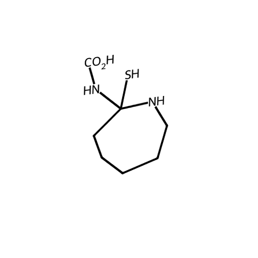 O=C(O)NC1(S)CCCCCN1